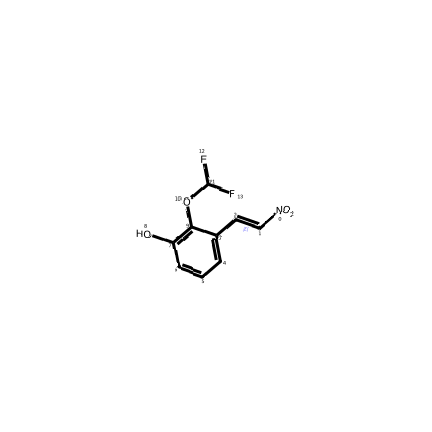 O=[N+]([O-])/C=C/c1cccc(O)c1OC(F)F